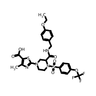 CCOc1ccc(CNC(=O)C2CN(c3nc(C)c(C(=O)O)s3)CCN2S(=O)(=O)c2ccc(OC(F)(F)F)cc2)cc1